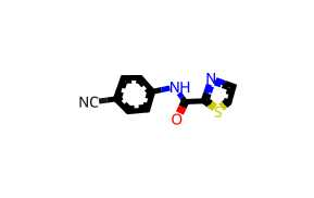 N#Cc1ccc(NC(=O)c2nccs2)cc1